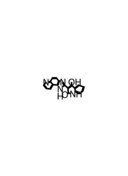 O=c1[nH]c2ccccc2c(O)c1-c1nc2ccc3ncccc3c2[nH]1